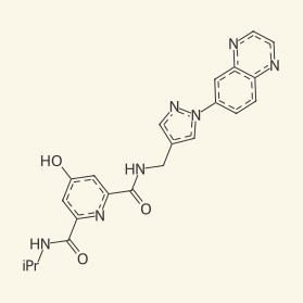 CC(C)NC(=O)c1cc(O)cc(C(=O)NCc2cnn(-c3ccc4nccnc4c3)c2)n1